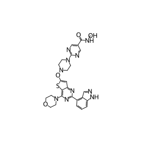 O=C(NO)c1cnc(N2CCN(Oc3cc4nc(-c5cccc6[nH]ncc56)nc(N5CCOCC5)c4s3)CC2)nc1